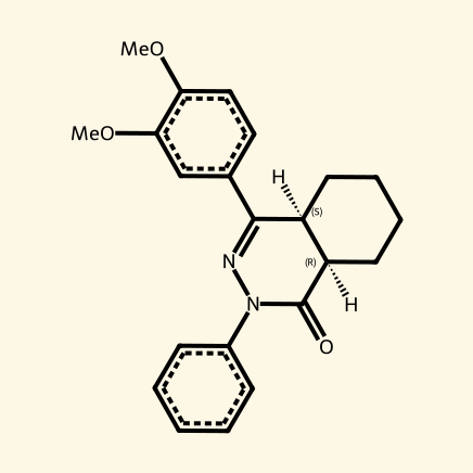 COc1ccc(C2=NN(c3ccccc3)C(=O)[C@@H]3CCCC[C@H]23)cc1OC